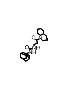 O=C(NCCC(=O)N1CCCC2CCCCC21)NC12CC3CC(CC(C3)C1)C2